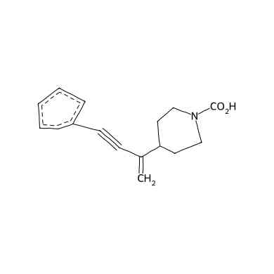 C=C(C#Cc1ccccc1)C1CCN(C(=O)O)CC1